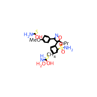 C.CCCc1onc(-c2ccc(OC)cc2)c1-c1ccccc1S(N)(=O)=O.NC(O)=S.NC(O)=S.O